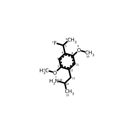 COc1cc(C(C)F)c(OC)cc1CC(C)N